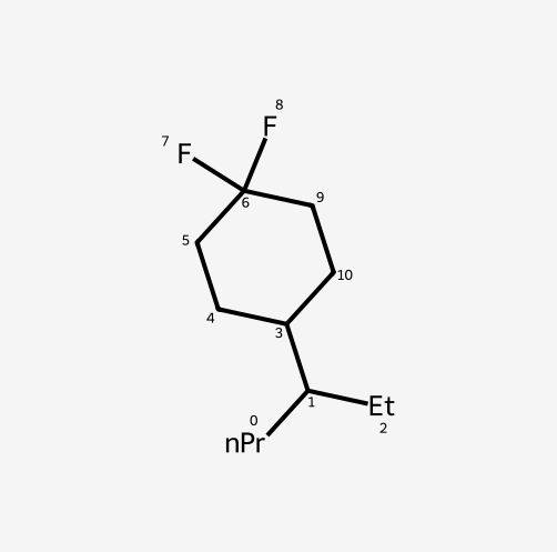 CCCC(CC)C1CCC(F)(F)CC1